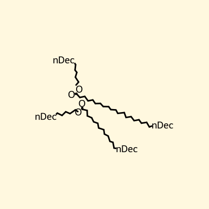 CCCCCCCCCCCCCCCCCCCCCCC(=O)OCCCCCCCCCCCCCCC.CCCCCCCCCCCCCCCCCCCCCCCCCCCCCC(=O)OCCCCCCCCCCCCCCCC